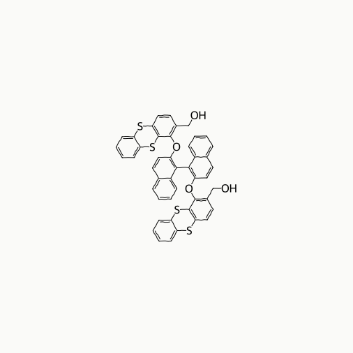 OCc1ccc2c(c1Oc1ccc3ccccc3c1-c1c(Oc3c(CO)ccc4c3Sc3ccccc3S4)ccc3ccccc13)Sc1ccccc1S2